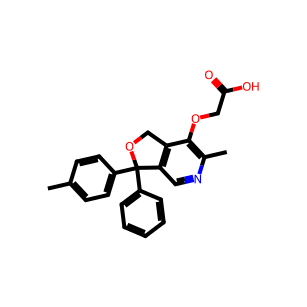 Cc1ccc(C2(c3ccccc3)OCc3c2cnc(C)c3OCC(=O)O)cc1